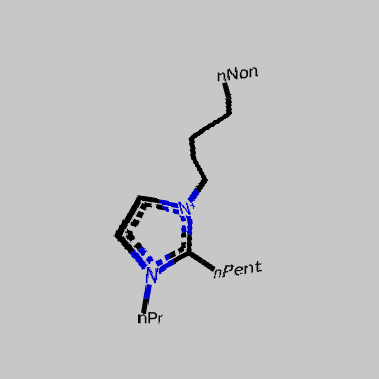 CCCCCCCCCCCC[n+]1ccn(CCC)c1CCCCC